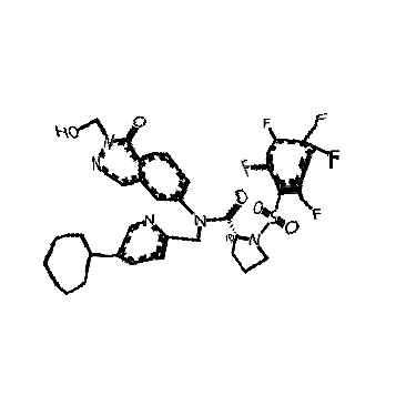 O=C([C@H]1CCCN1S(=O)(=O)c1c(F)c(F)c(F)c(F)c1F)N(Cc1ccc(C2CCCCC2)cn1)c1ccc2c(=O)n(CO)ncc2c1